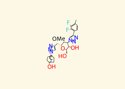 CO[C@@H]1[C@@H](n2cc(-c3ccc(C)c(F)c3F)nn2)[C@@H](O)[C@@H](CO)O[C@@H]1Cc1cn(C23CCC(O)(CC2)CC3)nn1